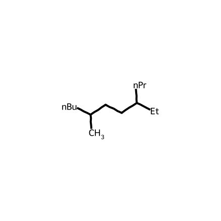 [CH2]CC(CCC)CCC(C)CCCC